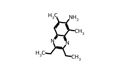 CCc1nc2cc(C)c(N)c(C)c2nc1CC